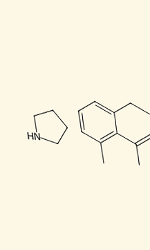 C1CCNC1.C=C(C)c1c(C)cccc1CC